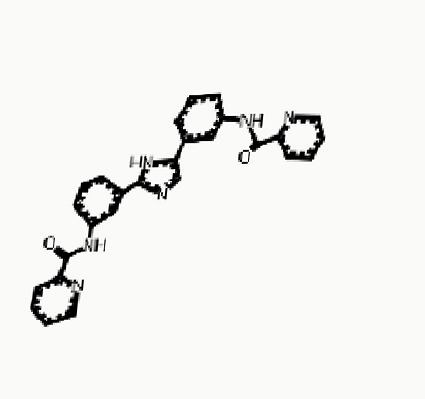 O=C(Nc1cccc(-c2cnc(-c3cccc(NC(=O)c4ccccn4)c3)[nH]2)c1)c1ccccn1